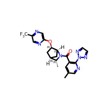 Cc1cnc(-n2nccn2)c(C(=O)N2[C@H](C)[C@H]3C[C@@H](Oc4cnc(C(F)(F)F)cn4)[C@@H]2C3)c1